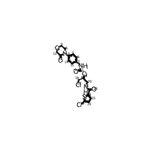 O=C(Nc1ccc(N2CCOCC2=O)cc1)O[C@H](CCl)CNC(=O)c1ccc(Cl)s1